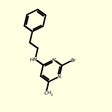 Cc1cc(NCCc2ccccc2)nc(Br)n1